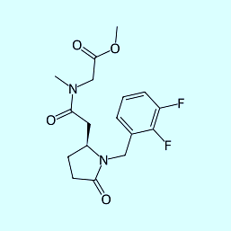 COC(=O)CN(C)C(=O)C[C@@H]1CCC(=O)N1Cc1cccc(F)c1F